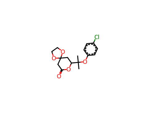 CC(C)(Oc1ccc(Cl)cc1)C1CC2(CC(=O)O1)OCCO2